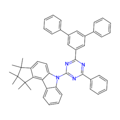 CC1(C)c2ccc3c(c2C(C)(C)C1(C)C)c1ccccc1n3-c1nc(-c2ccccc2)nc(-c2cc(-c3ccccc3)cc(-c3ccccc3)c2)n1